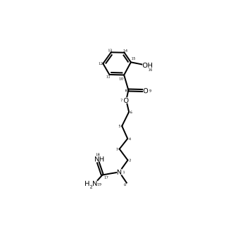 CN(CCCCCOC(=O)c1ccccc1O)C(=N)N